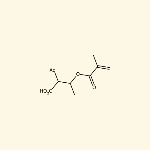 C=C(C)C(=O)OC(C)C(C(C)=O)C(=O)O